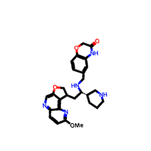 COc1ccc2ncc3c(c2n1)C(CC(NCc1ccc2c(c1)NC(=O)CO2)[C@H]1CCCNC1)CO3